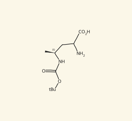 C[C@@H](CC(N)C(=O)O)NC(=O)OC(C)(C)C